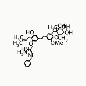 COc1cc(/C=C/c2cc(O)c(CC=C(C)C)c(OC/C(=C/NCc3ccccc3)NN)c2)cc2c1O[C@]1(C)C[C@@H](O)[C@@H](O)C(C)(C)[C@H]1C2